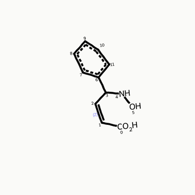 O=C(O)/C=C\C(NO)c1ccccc1